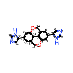 c1ncc(-c2cc3c4c(c2)OCc2cc(-c5cnc[nH]5)cc(c2-4)OC3)[nH]1